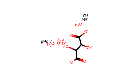 O.O.O.O.O=C([O-])C(O)C(O)C(=O)[O-].[KH].[KH].[Na+].[Na+]